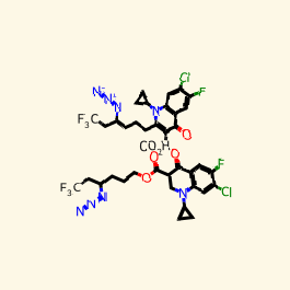 [N-]=[N+]=NC(CCCOC(=O)C1CN(C2CC2)c2cc(Cl)c(F)cc2C1=O)CC(F)(F)F.[N-]=[N+]=NC(CCCc1c(C(=O)O)c(=O)c2cc(F)c(Cl)cc2n1C1CC1)CC(F)(F)F